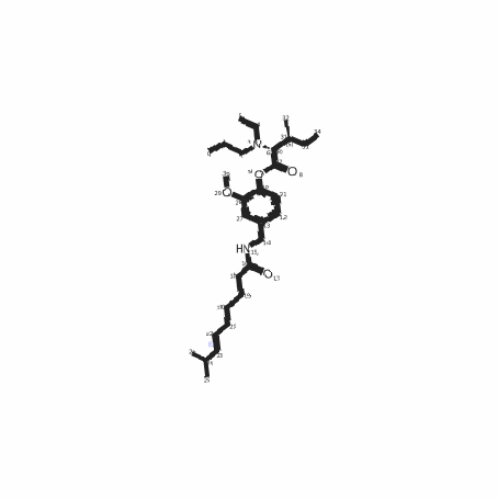 CCCN(CC)[C@@H](C(=O)Oc1ccc(CNC(=O)CCCC/C=C/C(C)C)cc1OC)[C@@H](C)CC